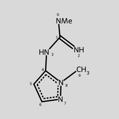 CNC(=N)Nc1ccnn1C